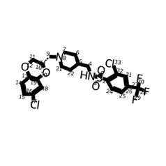 O=S(=O)(NCC1CCN(C[C@H]2COc3ccc(Cl)cc3O2)CC1)c1ccc(C(F)(F)F)cc1Cl